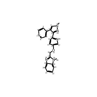 Cn1cc(-c2ccncc2)c(-c2ccc(OCc3nc4ccccc4n3C)cn2)n1